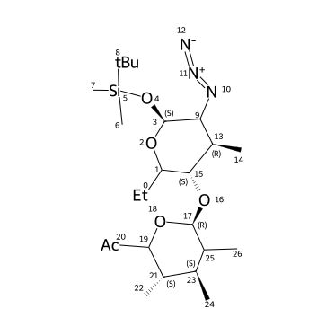 CCC1O[C@@H](O[Si](C)(C)C(C)(C)C)C(N=[N+]=[N-])[C@@H](C)[C@@H]1O[C@@H]1OC(C(C)=O)[C@@H](C)[C@H](C)C1C